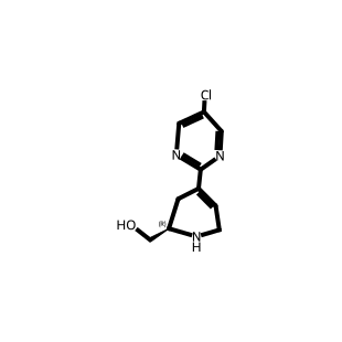 OC[C@H]1CC(c2ncc(Cl)cn2)=CCN1